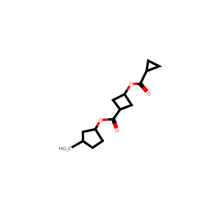 O=C(O)C1CCC(OC(=O)C2CC(OC(=O)C3CC3)C2)C1